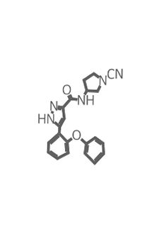 N#CN1CCC(NC(=O)c2cc(-c3ccccc3Oc3ccccc3)[nH]n2)C1